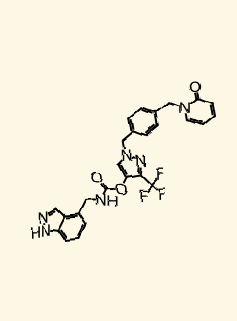 O=C(NCc1cccc2[nH]ncc12)Oc1cn(Cc2ccc(Cn3ccccc3=O)cc2)nc1C(F)(F)F